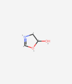 OC1CN=CO1